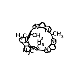 Cc1cc2c(C)cc1-c1ccc3ccc4ccc(nc4c3n1)C(C)c1ccc3ccc4ccc(nc4c3n1)-c1cc(C)c(cc1C)C21c2ccccc2-c2ccccc21